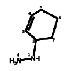 NNC1C=CCCC1